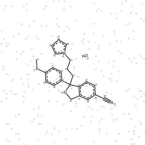 COc1ccc(C2(CCCn3ccnc3)OCc3cc(C#N)ccc32)cc1.Cl